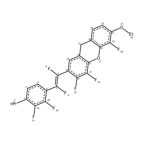 CCCc1ccc(/C(F)=C(\F)c2cc3c(c(F)c2F)Oc2c(ccc(OCC)c2F)C3)c(F)c1F